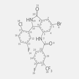 O=C(Nc1cc(Br)cc2c1C(c1cc(F)ccc1Cl)NC2=O)c1ccc(F)c(C(F)(F)F)c1